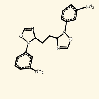 Nc1cccc(N2OC=NC2CCC2N=CON2c2cccc(N)c2)c1